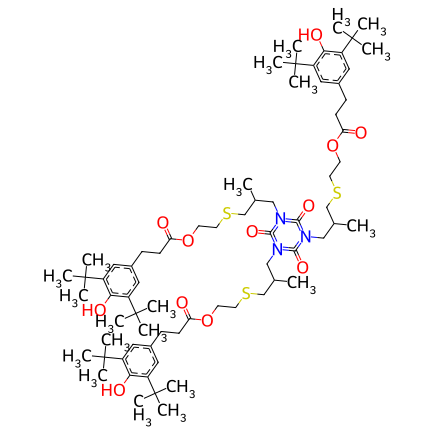 CC(CSCCOC(=O)CCc1cc(C(C)(C)C)c(O)c(C(C)(C)C)c1)Cn1c(=O)n(CC(C)CSCCOC(=O)CCc2cc(C(C)(C)C)c(O)c(C(C)(C)C)c2)c(=O)n(CC(C)CSCCOC(=O)CCc2cc(C(C)(C)C)c(O)c(C(C)(C)C)c2)c1=O